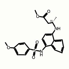 COC(=O)C[C@H](C)Nc1ccc(NS(=O)(=O)c2ccc(OC)cc2)c2ccccc12